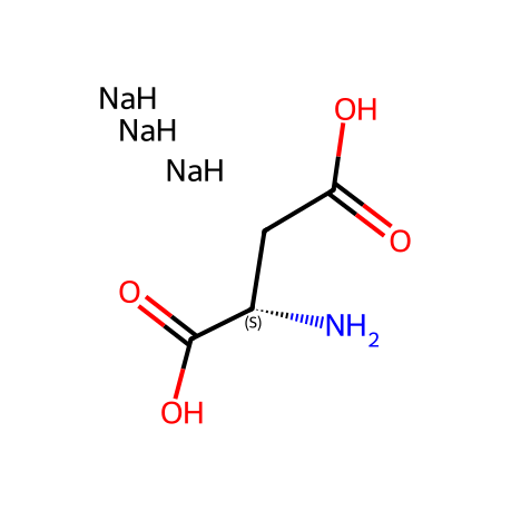 N[C@@H](CC(=O)O)C(=O)O.[NaH].[NaH].[NaH]